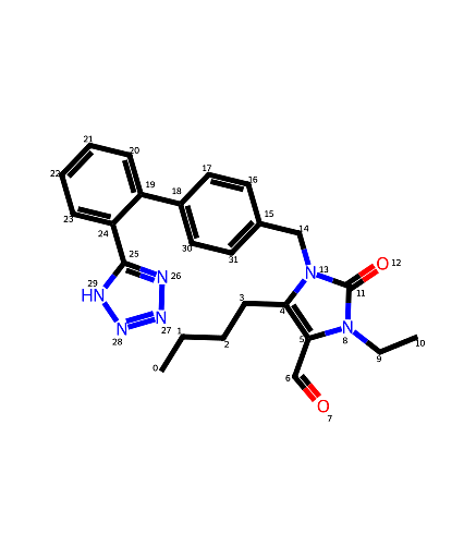 CCCCc1c(C=O)n(CC)c(=O)n1Cc1ccc(-c2ccccc2-c2nnn[nH]2)cc1